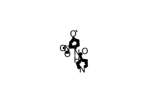 COc1ccc(NC(=O)c2ccncc2)c([N+](=O)[O-])c1